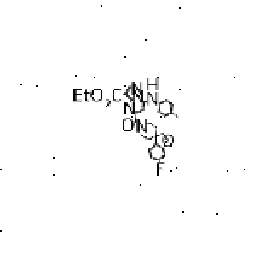 CCOC(=O)c1cnn2c(Nc3ccc(C)cc3)cc(C(=O)N3CCC4(CC3)COc3cc(F)ccc34)nc12